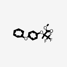 COC(=O)C(C)(Oc1ccc(Oc2ccccc2)cc1)C(F)(F)F